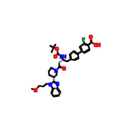 COCCCn1c([C@@H]2CCCN(C(=O)C[C@@H](Cc3ccc(-c4ccc(C(=O)O)c(F)c4)cc3)NC(=O)OC(C)(C)C)C2)nc2ccccc21